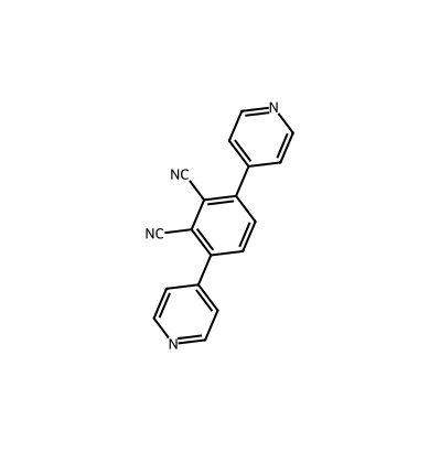 N#Cc1c(-c2ccncc2)ccc(-c2ccncc2)c1C#N